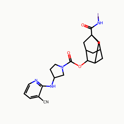 N#Cc1cccnc1NC1CCN(C(=O)OC2C3CC4CC2CC(C(=O)NI)(C4)C3)C1